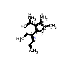 C=C/C=C(\C=C)c1nn(C)c(N)c1C(N)=O